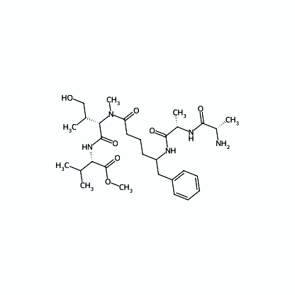 COC(=O)[C@@H](NC(=O)[C@H](C(C)CO)N(C)C(=O)CCCC(Cc1ccccc1)NC(=O)[C@H](C)NC(=O)[C@H](C)N)C(C)C